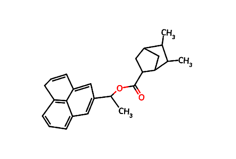 CC(OC(=O)C1CC2CC1C(C)C2C)c1cc2c3c(cccc3c1)CC=C2